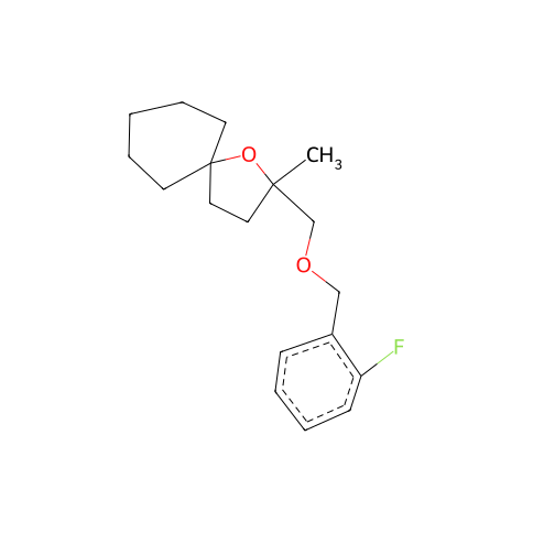 CC1(COCc2ccccc2F)CCC2(CCCCC2)O1